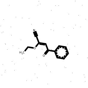 CCOC(C#N)=CC(=O)c1ccccc1